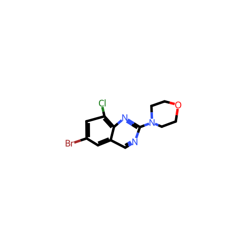 Clc1cc(Br)cc2cnc(N3CCOCC3)nc12